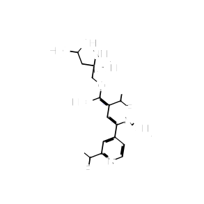 C=N/C(=C\C(=C(/C)OC[C@](C)(N)CC(C)C)C(F)F)c1ccnc(C(F)F)c1